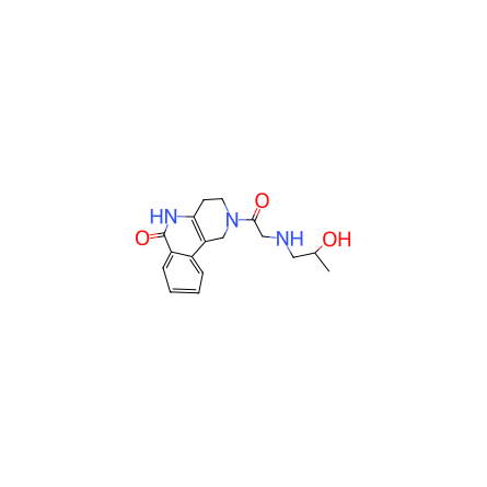 CC(O)CNCC(=O)N1CCc2[nH]c(=O)c3ccccc3c2C1